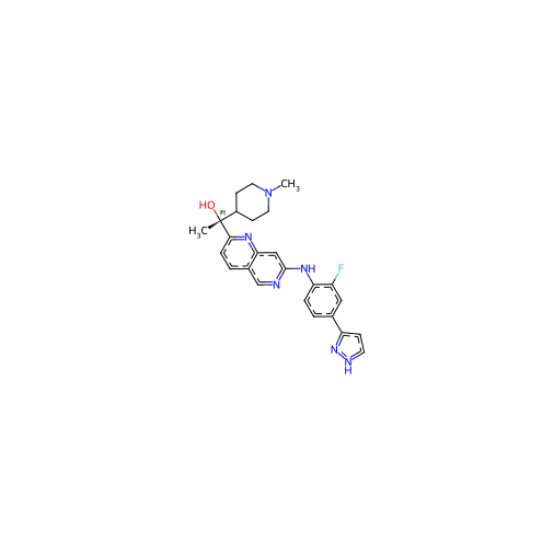 CN1CCC([C@@](C)(O)c2ccc3cnc(Nc4ccc(-c5cc[nH]n5)cc4F)cc3n2)CC1